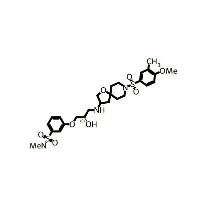 CNS(=O)(=O)c1cccc(OC[C@@H](O)CNC2COC3(CCN(S(=O)(=O)c4ccc(OC)c(C)c4)CC3)C2)c1